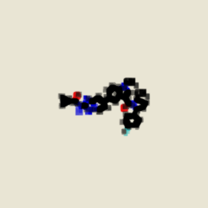 C[C@H]1CC[C@@H](c2ccc(F)cc2)N1C(=O)c1cn(C)c2ccc(-c3ccn4nc(NC(=O)C5CC5)nc4c3)cc12